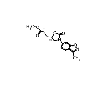 COC(=O)NC[C@H]1CN(c2ccc3c(C)noc3c2)C(=O)O1